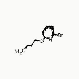 C=CCCOc1cccc(Br)n1